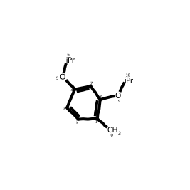 Cc1ccc(OC(C)C)cc1OC(C)C